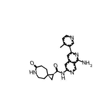 Cc1ccncc1-c1cc2cc(NC(=O)[C@H]3C[C@]34CCNC(=O)CC4)ncc2c(N)n1